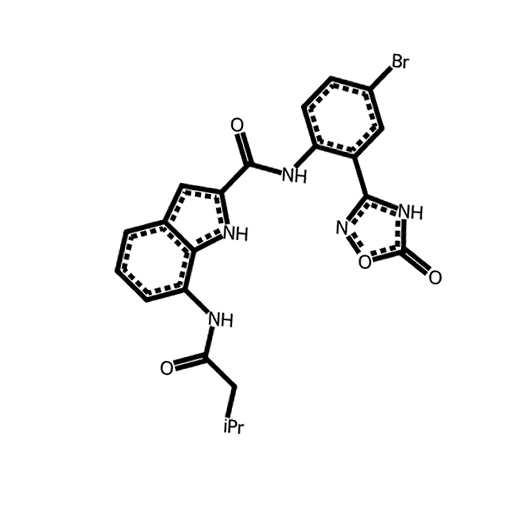 CC(C)CC(=O)Nc1cccc2cc(C(=O)Nc3ccc(Br)cc3-c3noc(=O)[nH]3)[nH]c12